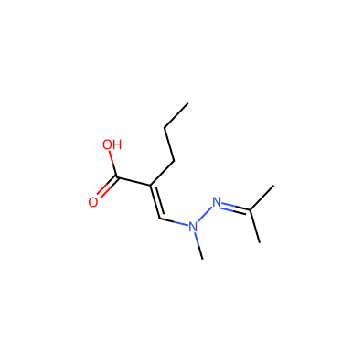 CCC/C(=C\N(C)N=C(C)C)C(=O)O